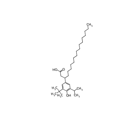 CCCCCCCCCCCCCCCCC(CC(=O)O)c1cc(C(C)C)c(O)c(C(C)(C)C)c1